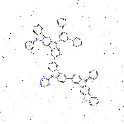 c1ccc(-c2cc(-c3ccccc3)cc(-n3c4ccc(-c5ccc6c(c5)c5cc(-c7ccc8c(c7)c7cc9sc%10ccccc%10c9cc7n8-c7ccccc7)ccc5n6-c5ncncn5)cc4c4cc5c(cc43)c3ccccc3n5-c3ccccc3)c2)cc1